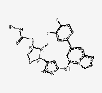 CC(C)NC(=O)O[C@@H]1CO[C@H](c2cc(Nc3nc(-c4ccc(F)c(Cl)c4)cc4nccn34)n[nH]2)[C@@H]1F